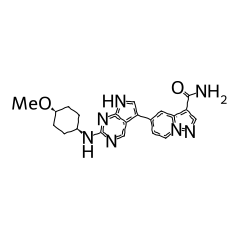 CO[C@H]1CC[C@@H](Nc2ncc3c(-c4ccn5ncc(C(N)=O)c5c4)c[nH]c3n2)CC1